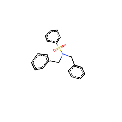 O=S(=O)(c1ccccc1)N(Cc1ccccc1)Cc1ccccc1